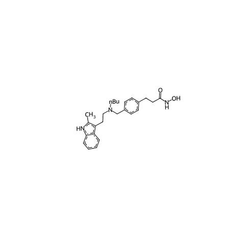 CCCCN(CCc1c(C)[nH]c2ccccc12)Cc1ccc(CCC(=O)NO)cc1